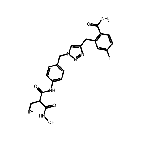 CC(C)CC(C(=O)NO)C(=O)Nc1ccc(Cn2cc(Cc3cc(I)ccc3C(N)=O)nn2)cc1